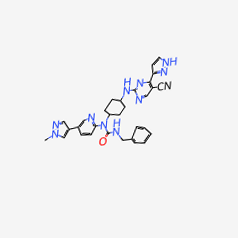 Cn1cc(-c2ccc(N(C(=O)NCc3ccccc3)C3CCC(Nc4ncc(C#N)c(-c5cc[nH]n5)n4)CC3)nc2)cn1